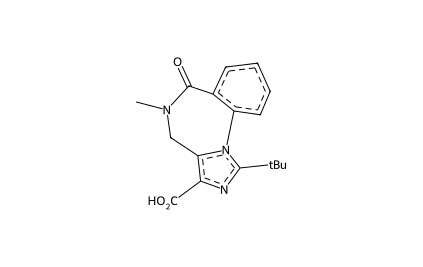 CN1Cc2c(C(=O)O)nc(C(C)(C)C)n2-c2ccccc2C1=O